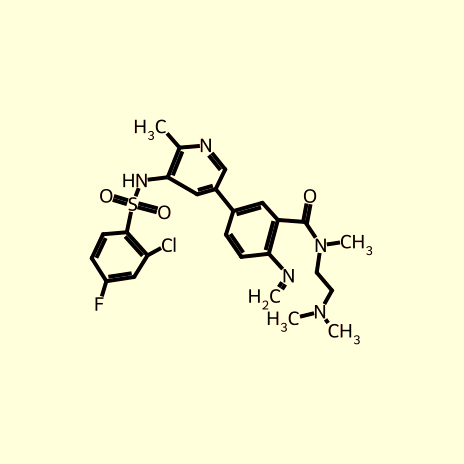 C=Nc1ccc(-c2cnc(C)c(NS(=O)(=O)c3ccc(F)cc3Cl)c2)cc1C(=O)N(C)CCN(C)C